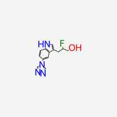 OC[C@H](F)Cc1c[nH]c2ccc(-n3cnnc3)cc12